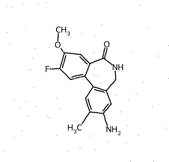 COc1cc2c(cc1F)-c1cc(C)c(N)cc1CNC2=O